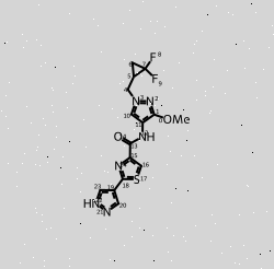 COc1nn(CC2CC2(F)F)cc1NC(=O)c1csc(-c2cn[nH]c2)n1